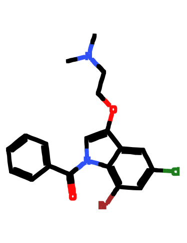 CN(C)CCOc1cn(C(=O)c2ccccc2)c2c(Br)cc(Cl)cc12